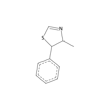 C[C]1N=CSC1c1ccccc1